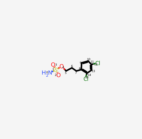 NS(=O)(=O)OCCCc1ccc(Cl)cc1Cl